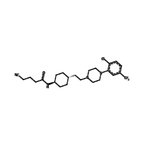 N#CCCCC(=O)N[C@H]1CC[C@H](CCN2CCN(c3cc(C(F)(F)F)ccc3Cl)CC2)CC1